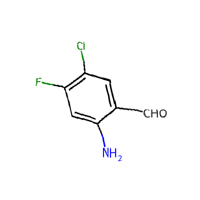 Nc1cc(F)c(Cl)cc1C=O